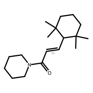 CC1(C)CCCC(C)(C)C1/C=C/C(=O)N1CCCCC1